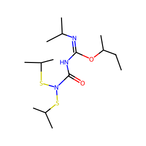 CCC(C)OC(=NC(C)C)NC(=O)N(SC(C)C)SC(C)C